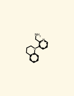 NCc1ncccc1N1CCCc2ccccc21